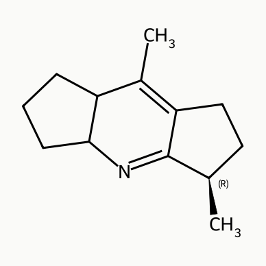 CC1=C2CC[C@@H](C)C2=NC2CCCC12